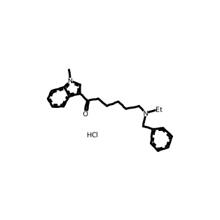 CCN(CCCCCC(=O)c1cn(C)c2ccccc12)Cc1ccccc1.Cl